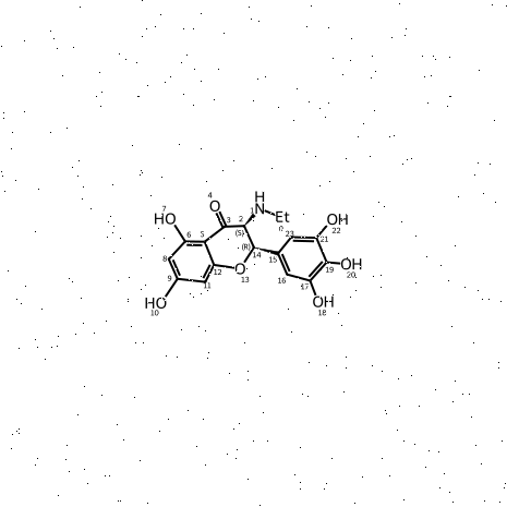 CCN[C@@H]1C(=O)c2c(O)cc(O)cc2O[C@@H]1c1cc(O)c(O)c(O)c1